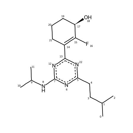 CC(C)CCc1nc(NC(C)C)nc(C2=C(F)[C@H](O)CCC2)n1